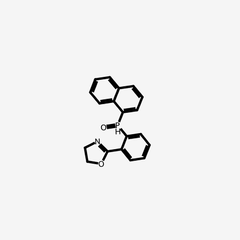 O=[PH](c1ccccc1C1=NCCO1)c1cccc2ccccc12